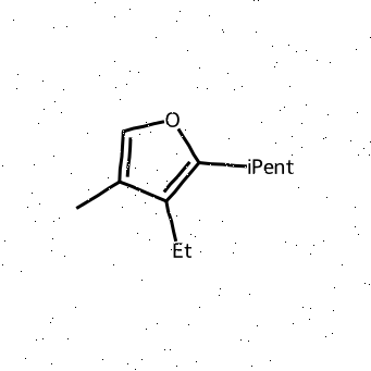 CCCC(C)c1occ(C)c1CC